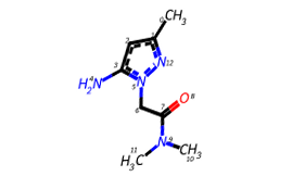 Cc1cc(N)n(CC(=O)N(C)C)n1